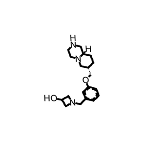 OC1CN(Cc2cccc(OC[C@H]3CC[C@H]4CNCCN4C3)c2)C1